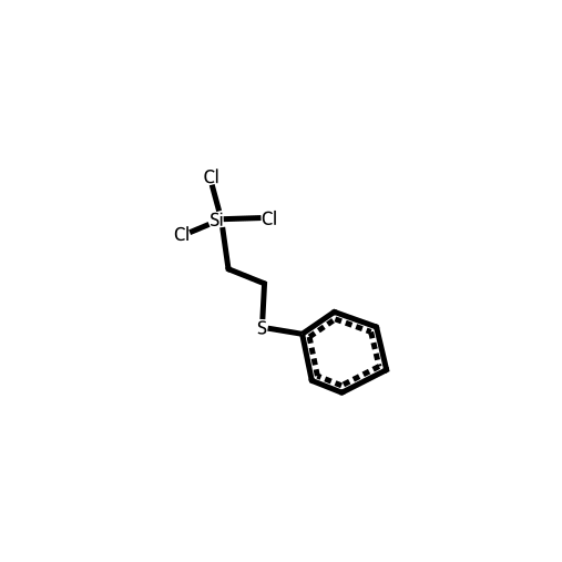 Cl[Si](Cl)(Cl)CCSc1ccccc1